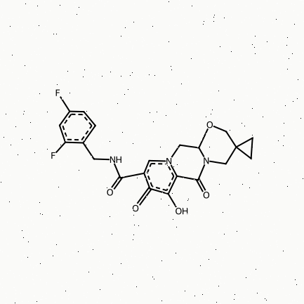 O=C(NCc1ccc(F)cc1F)c1cn2c(c(O)c1=O)C(=O)N1CC3(CC3)COC1C2